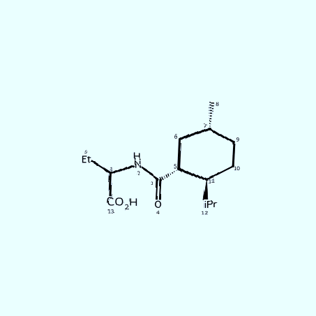 CCC(NC(=O)[C@@H]1C[C@H](C)CC[C@H]1C(C)C)C(=O)O